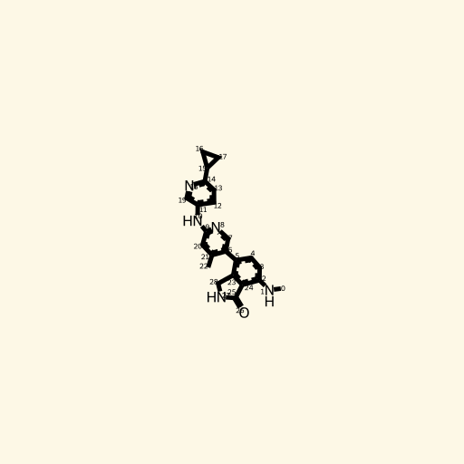 CNc1ccc(-c2cnc(Nc3ccc(C4CC4)nc3)cc2C)c2c1C(=O)NC2